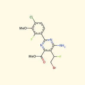 COC(=O)c1nc(-c2ccc(Cl)c(OC)c2F)nc(N)c1C(F)CBr